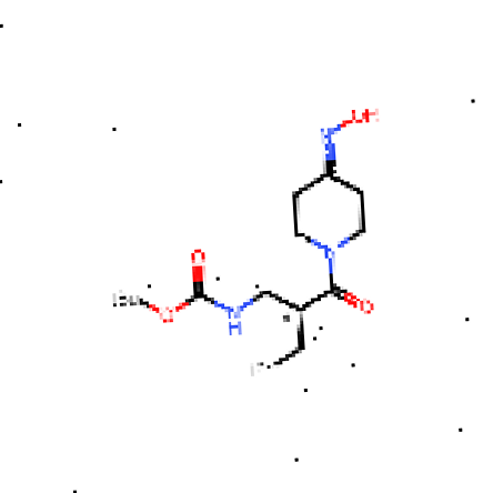 CC(C)C[C@@H](CNC(=O)OC(C)(C)C)C(=O)N1CCC(=NO)CC1